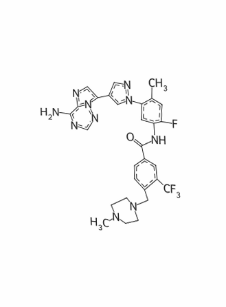 Cc1cc(F)c(NC(=O)c2ccc(CN3CCN(C)CC3)c(C(F)(F)F)c2)cc1-n1cc(-c2cnc3c(N)ncnn23)cn1